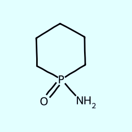 NP1(=O)CCCCC1